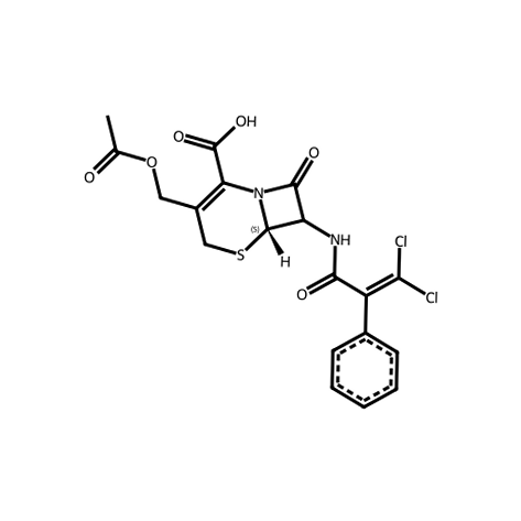 CC(=O)OCC1=C(C(=O)O)N2C(=O)C(NC(=O)C(=C(Cl)Cl)c3ccccc3)[C@@H]2SC1